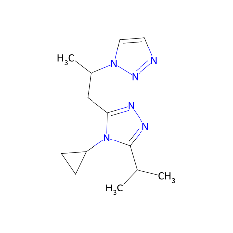 CC(C)c1nnc(CC(C)n2ccnn2)n1C1CC1